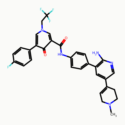 CN1CC=C(c2cnc(N)c(-c3ccc(NC(=O)c4cn(CC(F)(F)F)cc(-c5ccc(F)cc5)c4=O)cc3)c2)CC1